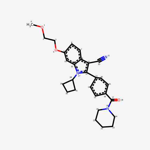 COCCOc1ccc2c(C#N)c(-c3ccc(C(=O)N4CCCCC4)cc3)n(C3CCC3)c2c1